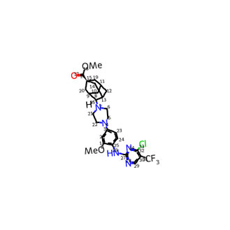 COc1cc(N2CCN([C@H]3C4CC5CC3C[C@@](C(=O)OC)(C5)C4)CC2)ccc1Nc1ncc(C(F)(F)F)c(Cl)n1